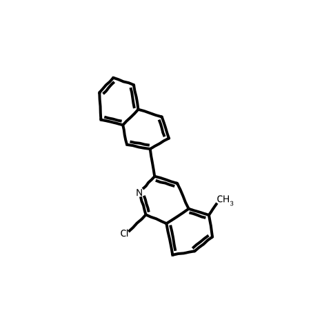 Cc1cccc2c(Cl)nc(-c3ccc4ccccc4c3)cc12